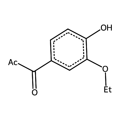 CCOc1cc(C(=O)C(C)=O)ccc1O